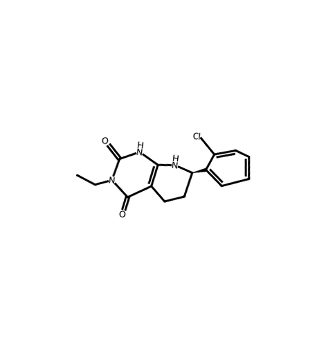 CCn1c(=O)[nH]c2c(c1=O)CC[C@H](c1ccccc1Cl)N2